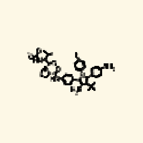 Bc1c(C(C)(C)C)c(-c2ccc(N)cc2)n(-c2ccc(F)cc2)c1-c1ccc(NC(=O)[C@@H]2CCCN2C(=O)[C@@H](NC(=O)OC)C(C)C)cc1